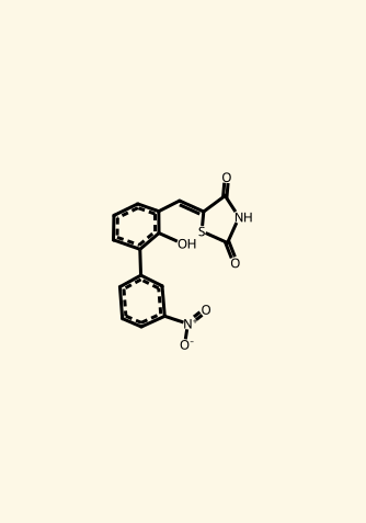 O=C1NC(=O)C(=Cc2cccc(-c3cccc([N+](=O)[O-])c3)c2O)S1